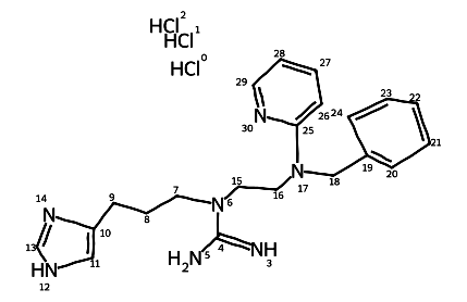 Cl.Cl.Cl.N=C(N)N(CCCc1c[nH]cn1)CCN(Cc1ccccc1)c1ccccn1